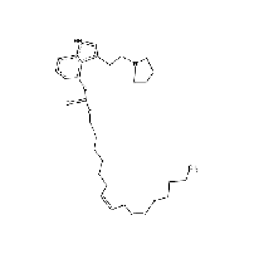 CCCCC/C=C\C/C=C\CCCCCCCC(=O)Oc1cccc2[nH]cc(CCN3CCCC3)c12